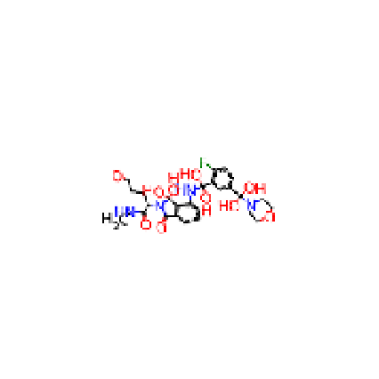 CNC(=O)C(CCC=O)N1C(=O)c2cccc(NC(O)(O)c3cc(C(O)(O)N4CCOCC4)ccc3F)c2C1(O)O